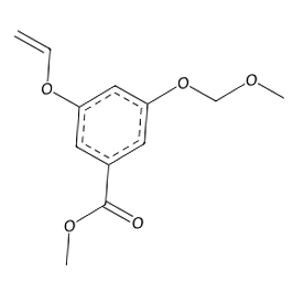 C=COc1cc(OCOC)cc(C(=O)OC)c1